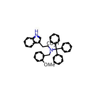 COc1ccccc1CN(C(Cc1c[nH]c2ccccc12)C(=O)O)C(c1ccccc1)(c1ccccc1)c1ccccc1